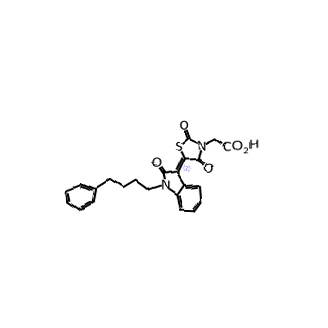 O=C(O)CN1C(=O)S/C(=C2\C(=O)N(CCCCc3ccccc3)c3ccccc32)C1=O